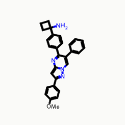 COc1ccc(-c2cc3nc(-c4ccc(C5(N)CCC5)cc4)c(-c4ccccc4)cn3n2)cc1